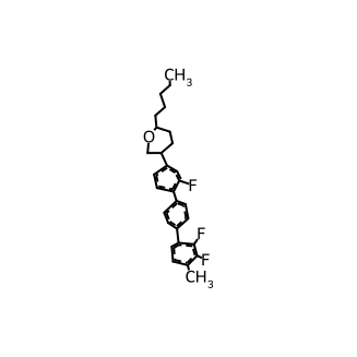 CCCCCC1CCC(c2ccc(-c3ccc(-c4ccc(C)c(F)c4F)cc3)c(F)c2)CO1